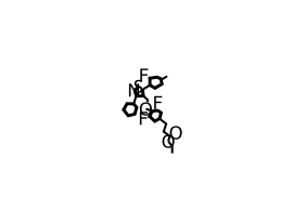 CCOC(=O)CCc1cc(F)c(OCc2c(-c3ccccc3)nsc2-c2ccc(C)cc2F)c(F)c1